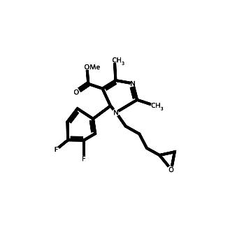 COC(=O)C1=C(C)N=C(C)N(CCCC2CO2)C1c1ccc(F)c(F)c1